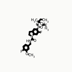 CCOB(OC(C)(C)CC)c1cc2c(cc1F)N(C(=O)NCc1ccc(F)c(OC)c1)CC2